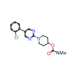 CNC(=O)OC1CCN(c2ncc(-c3ccccc3Cl)cn2)CC1